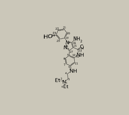 CCN(CC)CCNc1ccc2c(c1)[nH]c(=O)c1c(N)n(-c3cccc(O)c3)nc12